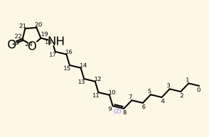 CCCCCCCC/C=C\CCCCCCCCNC1CCC(=O)O1